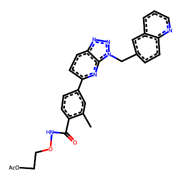 CC(=O)OCCONC(=O)c1ccc(-c2ccc3nnn(Cc4ccc5ncccc5c4)c3n2)cc1C